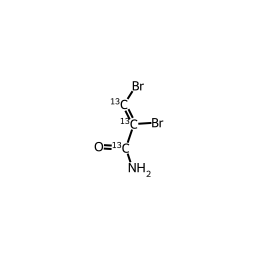 N[13C](=O)[13C](Br)=[13CH]Br